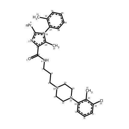 CCCc1nc(C(=O)NCCCN2CCN(c3cccc(Cl)c3C)CC2)c(C)n1-c1ccccc1C